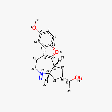 COc1ccc2oc3c(c2c1)CCN[C@H]1C[C@@H](C(C)O)C[C@@H]31